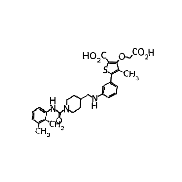 Cc1cccc(NC(=O)N2CCC(CNc3cccc(-c4sc(C(=O)O)c(OCC(=O)O)c4C)c3)CC2)c1C